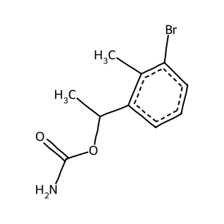 Cc1c(Br)cccc1C(C)OC(N)=O